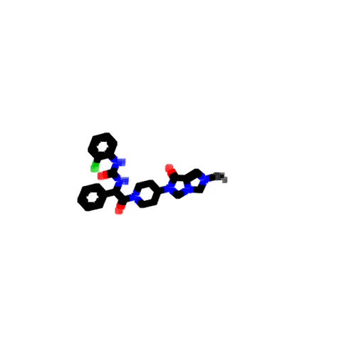 CN1C=C2C(=O)N(C3CCN(C(=O)C(NC(=O)Nc4ccccc4Cl)c4ccccc4)CC3)CN2C1